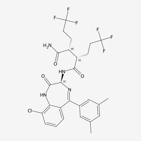 Cc1cc(C)cc(C2=N[C@H](NC(=O)[C@@H](CCC(F)(F)F)[C@@H](CCC(F)(F)F)C(N)=O)C(=O)Nc3c(Cl)cccc32)c1